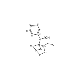 CCN1CCC2CC1(C(O)c1cccnc1)C2